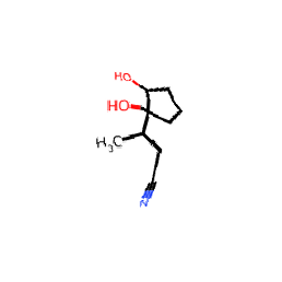 CC(CC#N)C1(O)CCCC1O